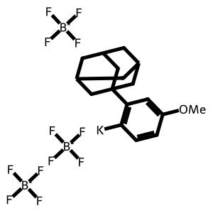 COc1cc[c]([K])c(C23CC4CC(CC(C4)C2)C3)c1.F[B-](F)(F)F.F[B-](F)(F)F.F[B-](F)(F)F